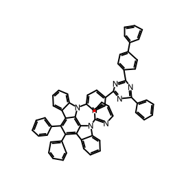 c1ccc(-c2ccc(-c3nc(-c4ccccc4)nc(-c4ccc(-n5c6ccccc6c6c(-c7ccccc7)c(-c7ccccc7)c7c8ccccc8n(-c8ncccn8)c7c65)cc4)n3)cc2)cc1